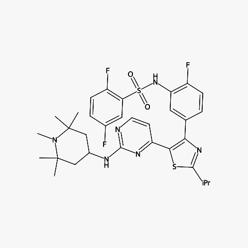 CC(C)c1nc(-c2ccc(F)c(NS(=O)(=O)c3cc(F)ccc3F)c2)c(-c2ccnc(NC3CC(C)(C)N(C)C(C)(C)C3)n2)s1